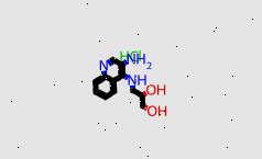 Cl.Nc1cnc2ccccc2c1NCC(O)CO